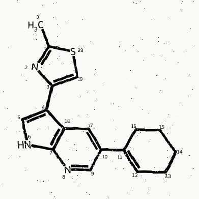 Cc1nc(-c2c[nH]c3ncc(C4=CCCCC4)cc23)cs1